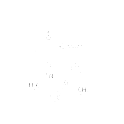 CN(C1COC1=O)[Si](C)(C)C